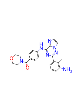 Cc1c(N)cccc1-c1nc(Nc2ccc(C(=O)N3CCOCC3)cc2)c2nccn2n1